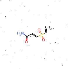 C=CS(=O)(=O)C=CC(N)=O